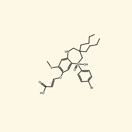 CCCCC1(CCCC)CNc2cc(SC)c(O/C=C/C(=O)O)cc2S(=O)(O)(c2ccc(Br)cc2)C1